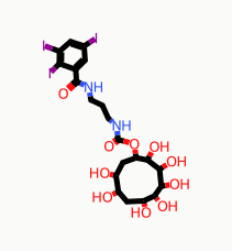 O=C(NCCCNC(=O)c1cc(I)cc(I)c1I)OC1CC(O)C(O)CC(O)C(O)C(O)C(O)C1O